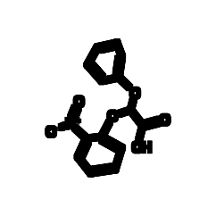 O=C(O)C(Oc1ccccc1)Oc1ccccc1[N+](=O)[O-]